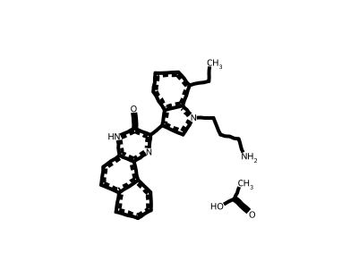 CC(=O)O.CCc1cccc2c(-c3nc4c(ccc5ccccc54)[nH]c3=O)cn(CCCN)c12